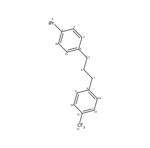 CC(C)c1ccc([CH]CCc2ccc(C(F)(F)F)cc2)cc1